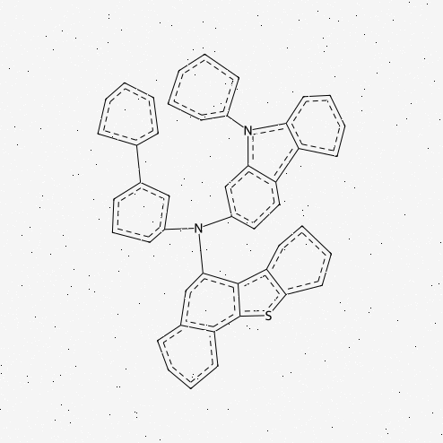 c1ccc(-c2cccc(N(c3ccc4c5ccccc5n(-c5ccccc5)c4c3)c3cc4ccccc4c4sc5ccccc5c34)c2)cc1